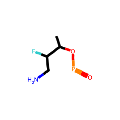 CC(OP=O)C(F)CN